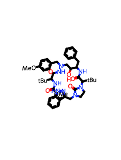 COC(=O)NC(C(=O)NN(Cc1ccc(OC)cc1)CC(O)C(Cc1ccccc1)NC(=O)C(N1CCN(Cc2n[nH]c3ccccc23)C1=O)C(C)(C)C)C(C)(C)C